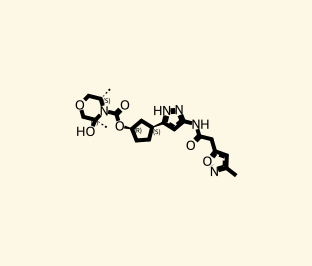 Cc1cc(CC(=O)Nc2cc([C@H]3CC[C@@H](OC(=O)N4[C@@H](C)COC[C@]4(C)O)C3)[nH]n2)on1